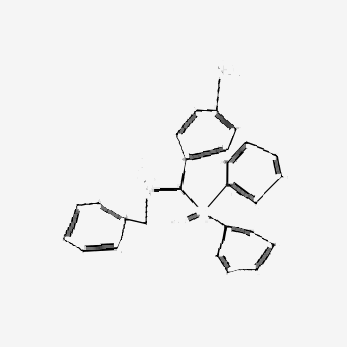 O=[N+]([O-])c1ccc(C(N(O)Cc2ccccc2)P(=O)(c2ccccc2)c2ccccc2)cc1